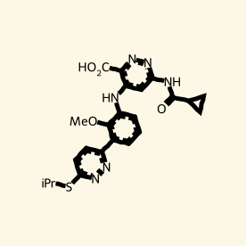 COc1c(Nc2cc(NC(=O)C3CC3)nnc2C(=O)O)cccc1-c1ccc(SC(C)C)nn1